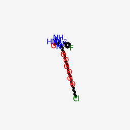 Nc1nc2c(nc(CCCOCCOCCOCCOCCOCCOCCCCCCCl)n2Cc2ccc(F)cc2)c(=O)[nH]1